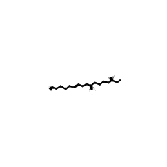 CCC(=O)CCCCC(=O)CCC=CCCCCC=O